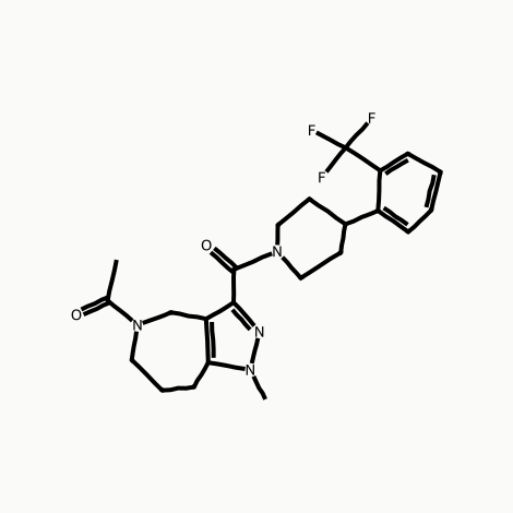 CC(=O)N1CCCc2c(c(C(=O)N3CCC(c4ccccc4C(F)(F)F)CC3)nn2C)C1